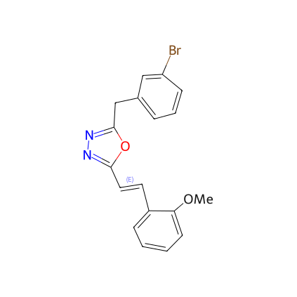 COc1ccccc1/C=C/c1nnc(Cc2cccc(Br)c2)o1